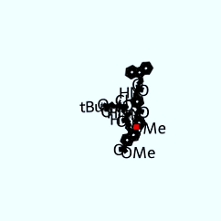 COC(=O)c1ccc2c(CN3C(=O)[C@@H](NC(=O)[C@H](C)NCC(=O)OC(C)(C)C)CN(C(=O)c4ccc(NC(=O)OCC5c6ccccc6-c6ccccc65)cc4)c4ccccc43)c(OC)ccc2c1